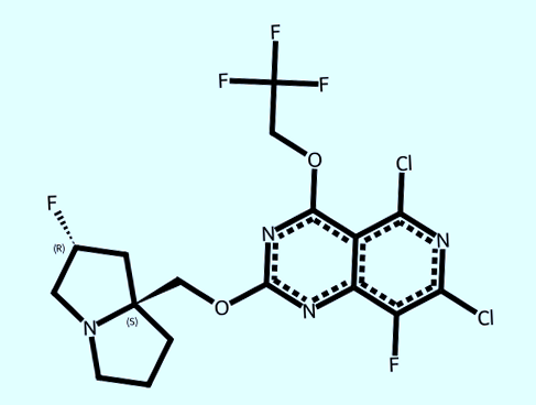 Fc1c(Cl)nc(Cl)c2c(OCC(F)(F)F)nc(OC[C@@]34CCCN3C[C@H](F)C4)nc12